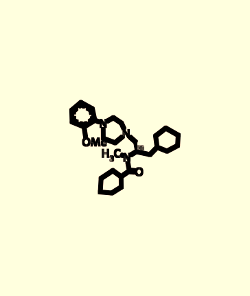 COc1ccccc1N1CCN(C[C@@H](CC2CCCCC2)N(C)C(=O)C2CCCCC2)CC1